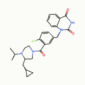 CC(C)N1CCN(C(=O)c2cc(Cn3c(=O)[nH]c(=O)c4ccccc43)ccc2F)CC1CC1CC1